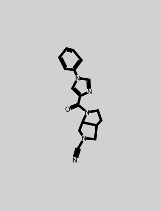 N#CN1CC2CCN(C(=O)c3cn(-c4ccccc4)cn3)C2C1